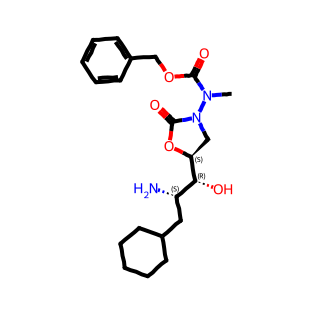 CN(C(=O)OCc1ccccc1)N1C[C@@H]([C@H](O)[C@@H](N)CC2CCCCC2)OC1=O